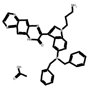 CC(=O)O.NCCCn1cc(-c2nc3cc4nccnc4cc3[nH]c2=O)c2cc(N(Cc3ccccc3)Cc3ccccc3)ccc21